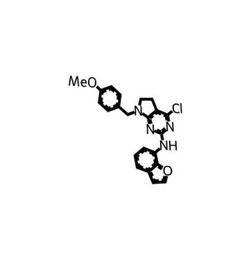 COc1ccc(CN2CCc3c(Cl)nc(Nc4cccc5ccoc45)nc32)cc1